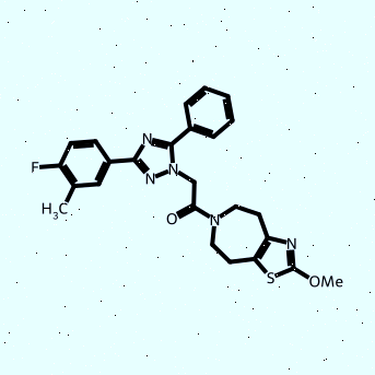 COc1nc2c(s1)CCN(C(=O)Cn1nc(-c3ccc(F)c(C)c3)nc1-c1ccccc1)CC2